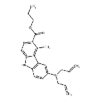 C=CCN(CC=C)c1ccc2[nH]c3cnc(C(=O)OCCC)c(C)c3c2c1